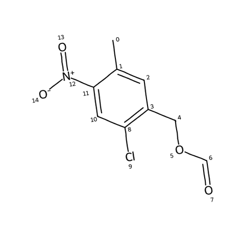 Cc1cc(COC=O)c(Cl)cc1[N+](=O)[O-]